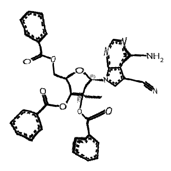 C[C@@]1(OC(=O)c2ccccc2)C(OC(=O)c2ccccc2)C(COC(=O)c2ccccc2)O[C@H]1n1cc(C#N)c2c(N)ncnc21